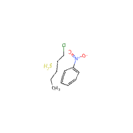 CCCCCCl.O=[N+]([O-])c1ccccc1.S